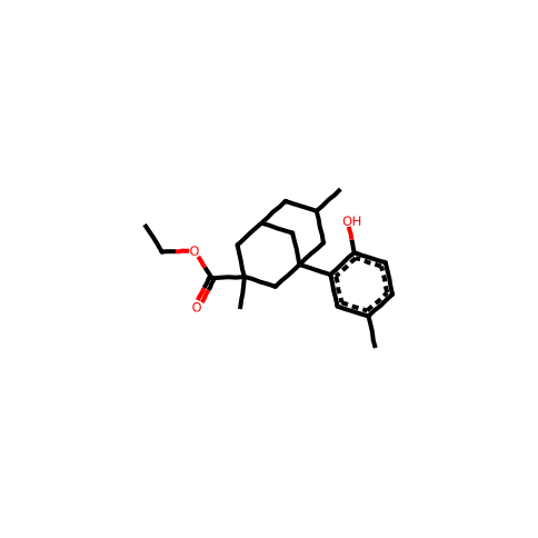 CCOC(=O)C1(C)CC2CC(C)CC(c3cc(C)ccc3O)(C2)C1